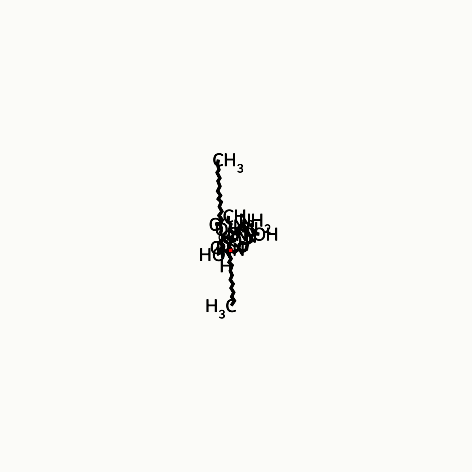 CCCCCCCCCCCCCCCC(=O)OC[C@H](COP(=O)(O)NCCN1CCC(Cn2c(O)nc3c(N)nc(OCCCC)nc32)CC1)OC(=O)CCCCCCCCCCCCCCC